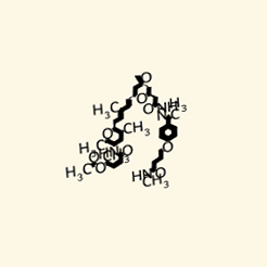 CNC(=O)CCCOc1ccc(/C(C)=N/NC(=O)C[C@@H]2C[C@@]3(CO3)C[C@@H](/C=C/C(C)=C/C[C@@H]3O[C@H](C)[C@H](NC(=O)/C=C\[C@H](C)OC(C)=O)C[C@@H]3C)O2)cc1